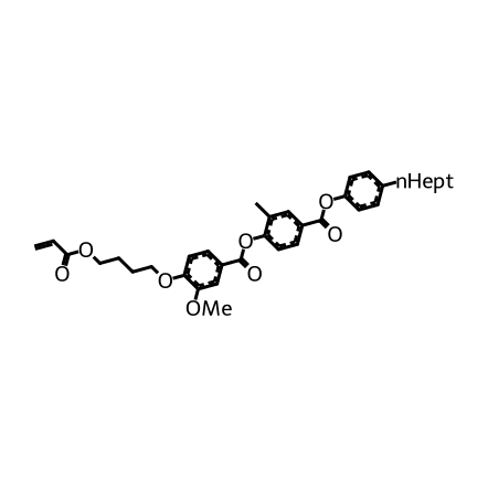 C=CC(=O)OCCCCOc1ccc(C(=O)Oc2ccc(C(=O)Oc3ccc(CCCCCCC)cc3)cc2C)cc1OC